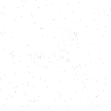 C=CC(=O)N1CC2(CCN(c3nc(N4CCN(CC5CCO5)CC4)nc4c(OCC(F)(F)F)c(-c5c(C)ccc6[nH]ncc56)c(C5CC5)cc34)CC2)C1